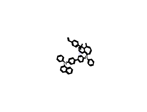 C=C/C=C\C1=C(N(c2ccccc2)c2ccc(-c3ccc(N(c4ccccc4)c4cccc5ccccc45)cc3)cc2)C=CC=C(C)C1C(C)(C)c1ccc(C=C)cc1